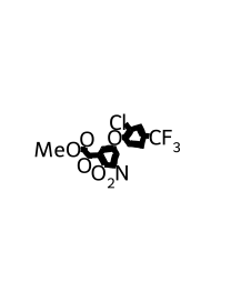 COC(=O)C(=O)c1cc(Oc2ccc(C(F)(F)F)cc2Cl)ccc1[N+](=O)[O-]